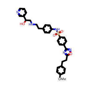 COc1ccc(CCc2nc(-c3ccc(S(=O)(=O)Nc4ccc(CCNCC(O)c5cccnc5)cc4)cc3)no2)cc1